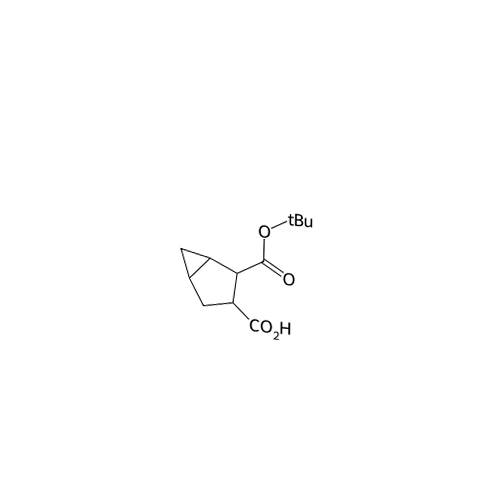 CC(C)(C)OC(=O)C1C(C(=O)O)CC2CC21